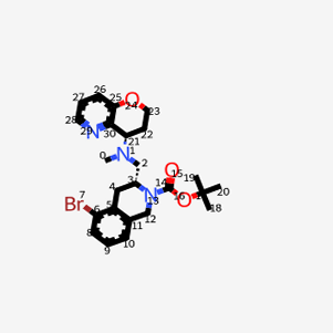 CN(C[C@H]1Cc2c(Br)cccc2CN1C(=O)OC(C)(C)C)[C@H]1CCOc2cccnc21